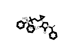 CCOC(=O)C1C(=O)N([C@@H](C)c2ccccc2)C[C@H]1C1(CCC(C)(C)[Si](O)(c2ccccc2)c2ccccc2)CC1